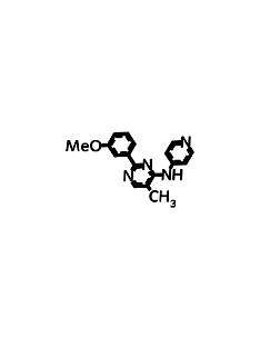 COc1cccc(-c2ncc(C)c(Nc3ccncc3)n2)c1